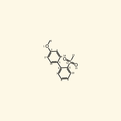 COc1ccc(-c2ccccc2S(C)(=O)=O)cc1